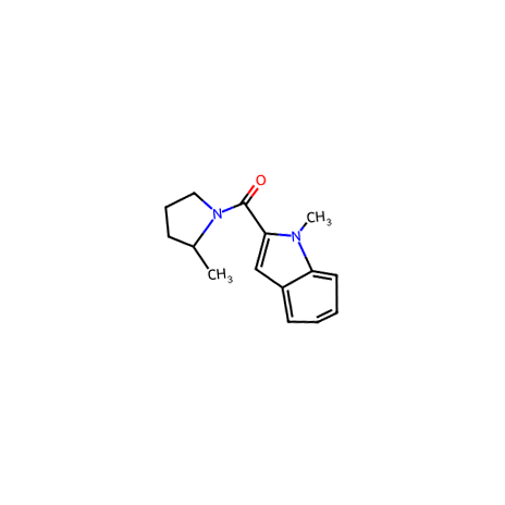 CC1CCCN1C(=O)c1cc2ccccc2n1C